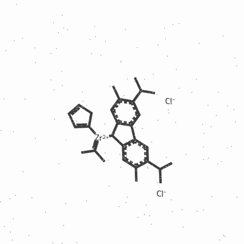 C[C](C)=[Zr+2]([C]1=CC=CC1)[CH]1c2cc(C)c(C(C)C)cc2-c2cc(C(C)C)c(C)cc21.[Cl-].[Cl-]